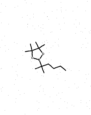 CCCCC(C)(C)B1OC(C)(C)C(C)(C)O1